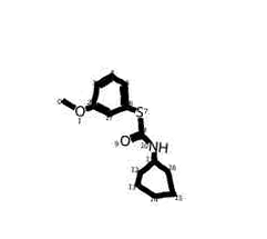 COc1cccc(SC(=O)NC2CCCCC2)c1